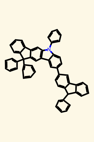 c1ccc(C2c3ccccc3-c3cc(-c4ccc5c(c4)c4cc6c(cc4n5-c4ccccc4)-c4ccccc4C6(c4ccccc4)c4ccccc4)ccc32)cc1